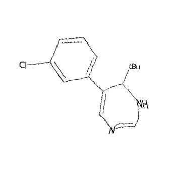 CC(C)(C)C1NC=NC=C1c1cccc(Cl)c1